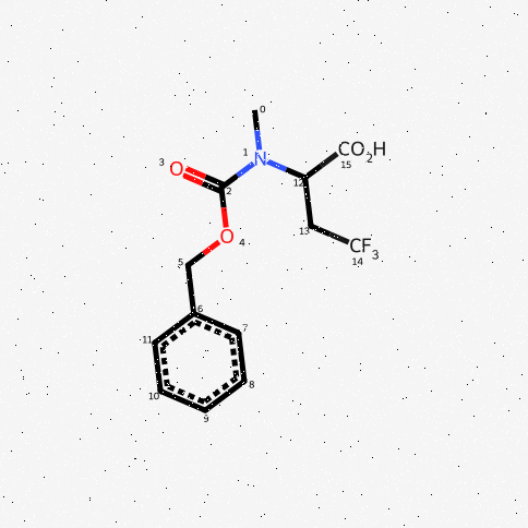 CN(C(=O)OCc1ccccc1)C(CC(F)(F)F)C(=O)O